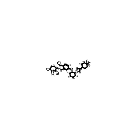 O=C1CCC(N2Cc3cc(O[C@@H]4CCCC[C@H]4N4CC(C5CCC(F)(F)CC5)C4)ccc3C2=O)C(=O)N1